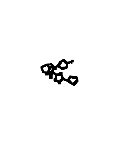 CN1C2CC[C@@H]1[C@H](c1nc(-c3ccccc3)no1)[C@@H](c1ccc(F)cc1)C2